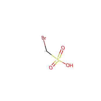 O=S(=O)(O)[CH]Br